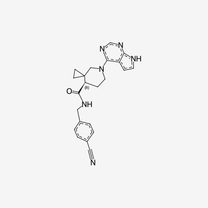 N#Cc1ccc(CNC(=O)[C@@H]2CCN(c3ncnc4[nH]ccc34)CC23CC3)cc1